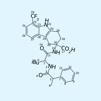 CCC(C)C(NC(=O)C(C)c1ccccc1)C(=O)NC1(C(=O)O)CCc2[nH]c3c(C(F)(F)F)cccc3c2C1